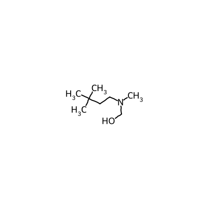 CN(CO)CCC(C)(C)C